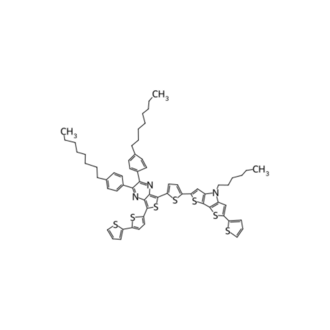 CCCCCCCCc1ccc(-c2nc3c(-c4ccc(-c5cccs5)s4)sc(-c4ccc(-c5cc6c(s5)c5sc(-c7cccs7)cc5n6CCCCCC)s4)c3nc2-c2ccc(CCCCCCCC)cc2)cc1